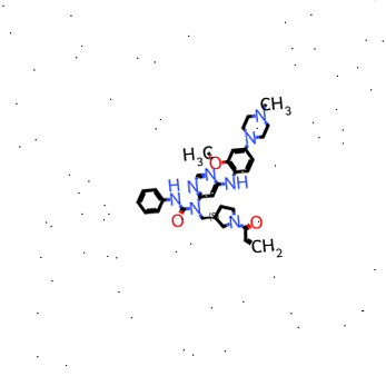 C=CC(=O)N1CC[C@H](CN(C(=O)Nc2ccccc2)c2cc(Nc3ccc(N4CCN(C)CC4)cc3OC)ncn2)C1